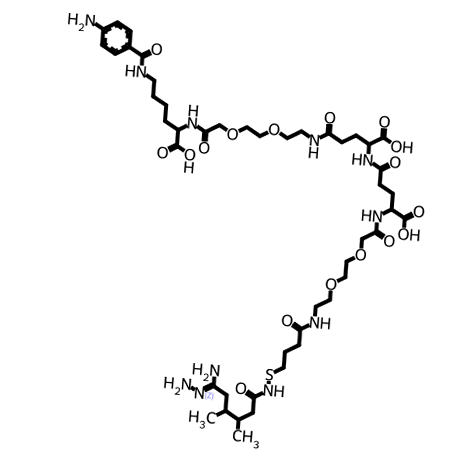 CC(CC(=O)NSCCCC(=O)NCCOCCOCC(=O)NC(CCC(=O)NC(CCC(=O)NCCOCCOCC(=O)NC(CCCCNC(=O)c1ccc(N)cc1)C(=O)O)C(=O)O)C(=O)O)C(C)C/C(N)=N/N